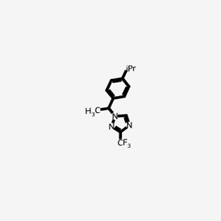 CC(C)c1ccc(C(C)n2cnc(C(F)(F)F)n2)cc1